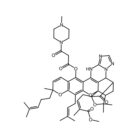 COC(=O)/C(C)=C\CC12OC(C)(C)C3CC(C1=O)C1C4=C(Nc5ncnn51)c1c(OC(=O)CC(=O)N5CCN(C)CC5)c5c(c(CC=C(C)C)c1OC432)OC(C)(CCC=C(C)C)C=C5